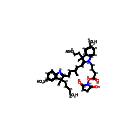 COCCC1(C)\C(=C/C=C(C)/C=C/C2=Nc3ccc(S(=O)(=O)O)cc3C2(C)CCCS(=O)(=O)O)N(CCCC(=O)ON2C(=O)CCC2=O)c2ccc(S(=O)(=O)O)cc21